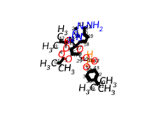 CC(C)C(=O)O[C@H]1[C@@H](OC(=O)C(C)C)[C@](C#N)(c2ccc3c(N)ncnn23)O[C@@H]1CO[PH](=O)Oc1ccc(C(C)(C)C)cc1